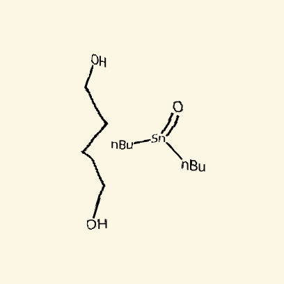 CCC[CH2][Sn](=[O])[CH2]CCC.OCCCCO